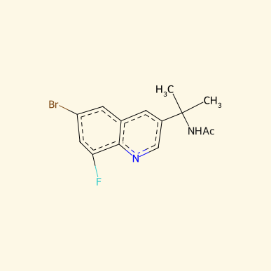 CC(=O)NC(C)(C)c1cnc2c(F)cc(Br)cc2c1